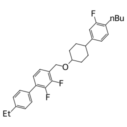 CCCCc1ccc(C2CCC(OCc3ccc(-c4ccc(CC)cc4)c(F)c3F)CC2)cc1F